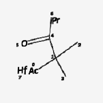 CC(=O)C(C)(C)C(=O)C(C)C.[Hf]